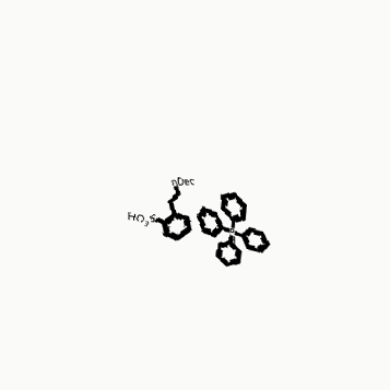 CCCCCCCCCCCCc1ccccc1S(=O)(=O)O.c1ccc([PH](c2ccccc2)(c2ccccc2)c2ccccc2)cc1